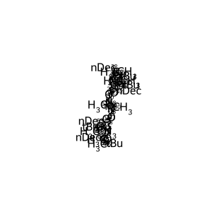 CCCCCCCCCCCCC(CN(CCCC(=O)OCCN1CC(C)N(CCOC(=O)CCCN(CC(CCCCCCCCCCCC)O[Si](C)(C)C(C)(C)C)CC(CCCCCCCCCCCC)O[Si](C)(C)C(C)(C)C)CC1C)CC(CCCCCCCCCCCC)O[Si](C)(C)C(C)(C)C)O[Si](C)(C)C(C)(C)C